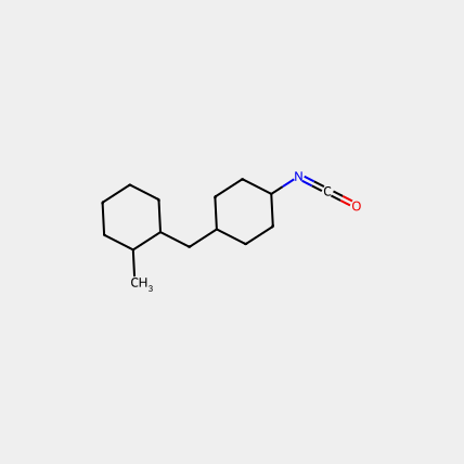 CC1CCCCC1CC1CCC(N=C=O)CC1